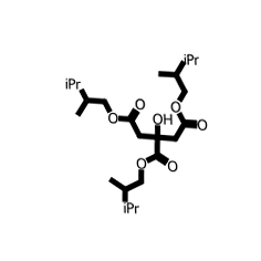 CC(C)C(C)COC(=O)CC(O)(CC(=O)OCC(C)C(C)C)C(=O)OCC(C)C(C)C